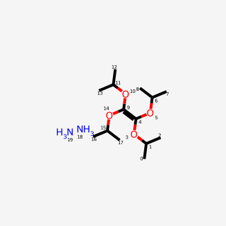 CC(C)OC(OC(C)C)=C(OC(C)C)OC(C)C.N.N